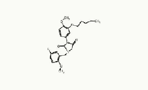 CCCCCOc1cc(N2C(=O)CN(Cc3cc(F)ccc3OC)C2=O)ccc1OC